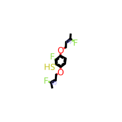 C/C(F)=C/COc1ccc(OC/C=C(/C)F)c(S)c1F